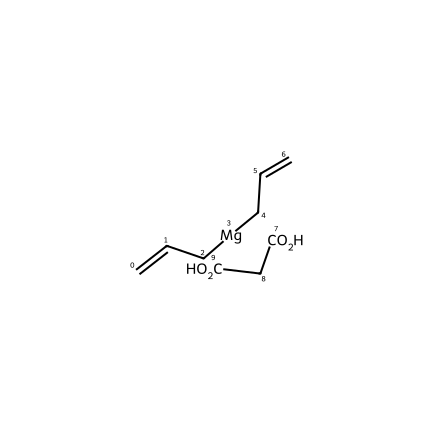 C=C[CH2][Mg][CH2]C=C.O=C(O)CC(=O)O